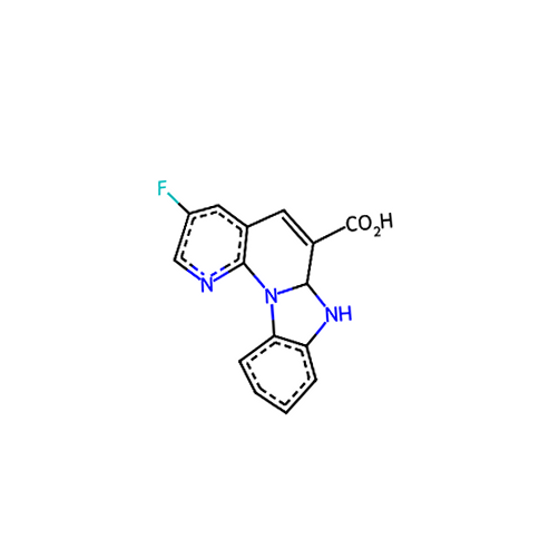 O=C(O)C1=Cc2cc(F)cnc2N2c3ccccc3NC12